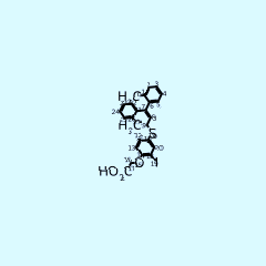 Cc1ccccc1C(=CCSc1ccc(OCC(=O)O)c(I)c1)c1ccccc1C